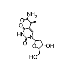 C=C(C(N)=O)c1cn([C@H]2C[C@H](O)[C@@H](CO)O2)c(=O)[nH]c1=O